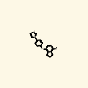 Fc1ccc(Oc2ccc(-n3ccnc3)cc2)c2c1CCC2